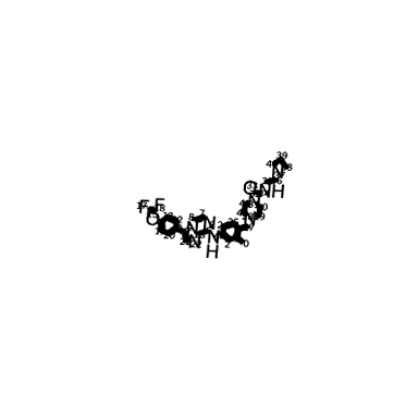 Cc1cc(Nc2nccn3c(-c4ccc(OC(F)F)cc4)cnc23)ccc1CN1CCN(C(=O)NCCN2CCC2)CC1